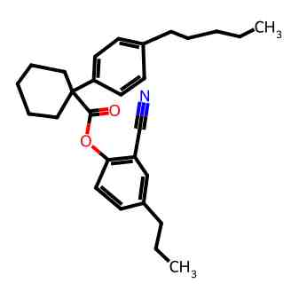 CCCCCc1ccc(C2(C(=O)Oc3ccc(CCC)cc3C#N)CCCCC2)cc1